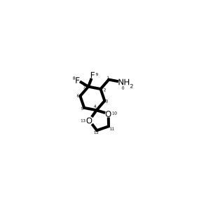 NCC1CC2(CCC1(F)F)OCCO2